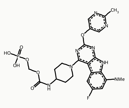 CNc1cc(F)cc2c1[nH]c1nc(Oc3cnc(C)nc3)nc(N3CCC(NC(=O)OCOP(=O)(O)O)CC3)c12